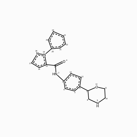 O=C(Nc1ccc(C2CNCCO2)cc1)c1ccnn1-c1ccccc1